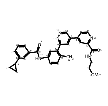 COCCNC(=O)c1cc(-c2cnnc(-c3cc(NC(=O)c4cccc(C5CC5)c4)ccc3C)c2)ccn1